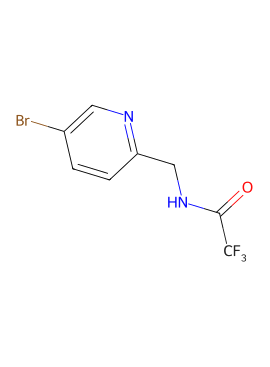 O=C(NCc1ccc(Br)cn1)C(F)(F)F